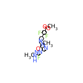 CNc1nc(=O)n(-c2ccnc3c2cc(CN2CCC(c4c(F)cc(C(=O)OC)cc4F)CC2)n3C)cc1F